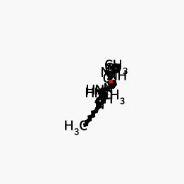 CCCCCCCCCCN1CCC(C2NNC(CNc3cccc(C(=O)N[C@@H](C#N)c4ccccc4OC)c3)N2C)C(F)C1